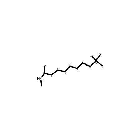 CPC(C)CCCCCCCC(C)(C)C